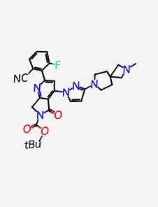 CN1CC2(CCN(c3ccn(-c4cc(-c5c(F)cccc5C#N)nc5c4C(=O)N(C(=O)OC(C)(C)C)C5)n3)CC2)C1